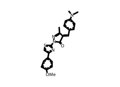 COc1ccc(-c2csc(N3N=C(C)/C(=C\c4ccc(N(C)C)cc4)C3=O)n2)cc1